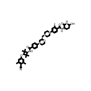 Cc1cc(O[C@H]2C(C)(C)[C@H](NC(=O)c3ccc(N4CCO[C@H](CN5CCN(c6ccc(C(=O)N[C@@H]7CCC(O)NC7=O)c(F)c6)CC5)C4)cc3)C2(C)C)cc(C)c1C#N